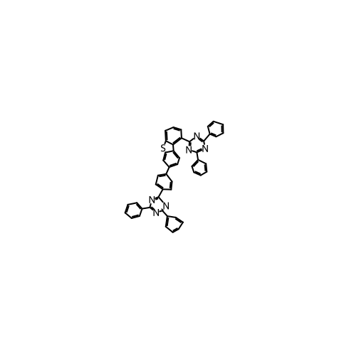 c1ccc(-c2nc(-c3ccccc3)nc(-c3ccc(-c4ccc5c(c4)sc4cccc(-c6nc(-c7ccccc7)nc(-c7ccccc7)n6)c45)cc3)n2)cc1